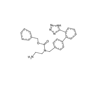 NCCN(Cc1ccc(-c2ccccc2-c2nnn[nH]2)cc1)C(=O)OCc1ccccc1